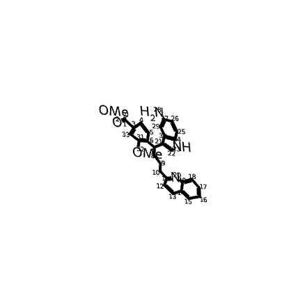 COC(=O)c1ccc(C(CCCc2ccc3ccccc3n2)c2c[nH]c3ccc(N)cc23)c(OC)c1